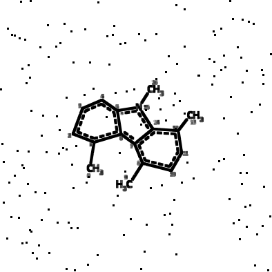 Cc1cccc2c1c1c(C)ccc(C)c1n2C